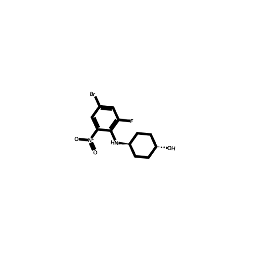 O=[N+]([O-])c1cc(Br)cc(F)c1N[C@H]1CC[C@H](O)CC1